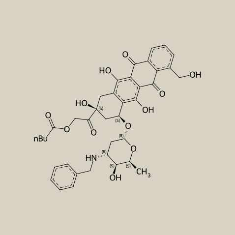 CCCCC(=O)OCC(=O)[C@]1(O)Cc2c(O)c3c(c(O)c2[C@@H](O[C@H]2C[C@@H](NCc4ccccc4)[C@H](O)[C@H](C)O2)C1)C(=O)c1c(CO)cccc1C3=O